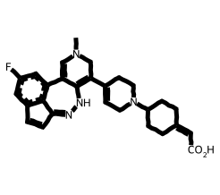 CN1C=C2C(=C(C3=CCN(C4CCC(=CC(=O)O)CC4)CC3)C1)NN=C1C=Cc3cc(F)cc2c31